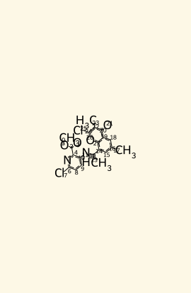 COC(=O)c1nc(Cl)ccc1N[C@H](C)c1cc(C)cc2c(=O)c(C)c(Cl)oc12